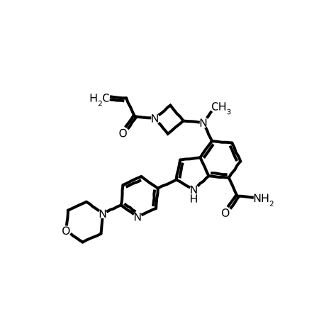 C=CC(=O)N1CC(N(C)c2ccc(C(N)=O)c3[nH]c(-c4ccc(N5CCOCC5)nc4)cc23)C1